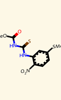 COC(=O)NC(=S)Nc1cc(SC)ccc1[N+](=O)[O-]